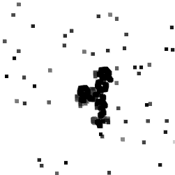 CC(=O)NCCn1cc2c(n1)N(Cc1ccccc1C(F)(F)F)C(=O)N(C1CCN(c3c(C)cccc3F)CC1)C2